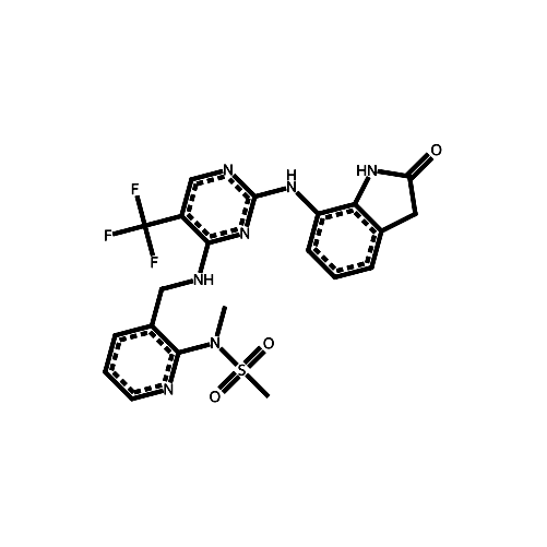 CN(c1ncccc1CNc1nc(Nc2cccc3c2NC(=O)C3)ncc1C(F)(F)F)S(C)(=O)=O